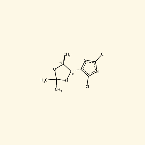 [CH2][C@@H]1OC(C)(C)O[C@H]1c1sc(Cl)nc1Cl